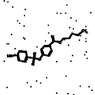 CCCCCOC(=O)c1ccc(OS(=O)(=O)c2ccc(O)cc2)cc1